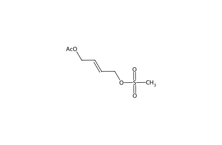 CC(=O)OC/C=C/COS(C)(=O)=O